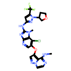 CNc1nccn2ncc(Oc3cnc4nc(Nc5cc(C(F)(F)F)n(C6CCOC6)n5)n(C)c4c3Cl)c12